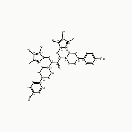 Cc1nn(CC(C(=O)C(Cn2nc(C)c(I)c2C)N2CCN(c3ccc(F)cc3)CC2)N2CCN(c3ccc(F)cc3)CC2)c(C)c1I